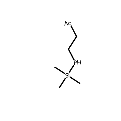 CC(=O)CCP[Si](C)(C)C